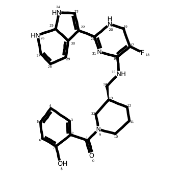 O=C(c1ccccc1O)N1CCC[C@H](CNC2=C(F)CNC(C3=CNC4NC=CC=C34)=N2)C1